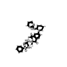 O=C(NC[C@H](NS(=O)(=O)c1ccccc1)C(=O)O)c1ccc(N2CCCCC2Nc2ncccn2)cc1C(F)(F)F